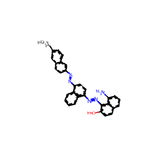 Nc1cccc2ccc(O)c(/N=N/c3ccc(/N=N/c4ccc5cc(S(=O)(=O)O)ccc5c4)c4ccccc34)c12